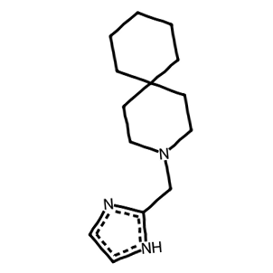 c1c[nH]c(CN2CCC3(CCCCC3)CC2)n1